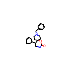 O=C1NCC(c2ccccc2)C2(CCN(Cc3ccccc3)CC2)O1